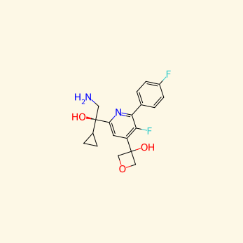 NC[C@](O)(c1cc(C2(O)COC2)c(F)c(-c2ccc(F)cc2)n1)C1CC1